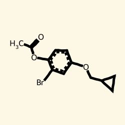 CC(=O)Oc1ccc(OCC2CC2)cc1Br